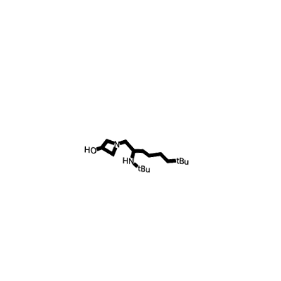 CC(C)(C)CCCCC(CN1CC(O)C1)NC(C)(C)C